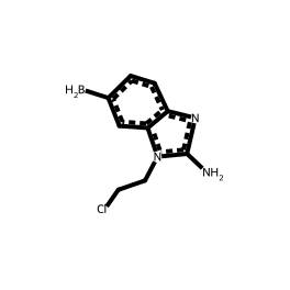 Bc1ccc2nc(N)n(CCCl)c2c1